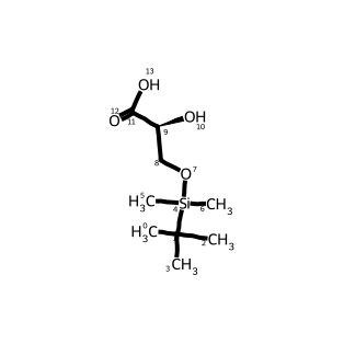 CC(C)(C)[Si](C)(C)OC[C@H](O)C(=O)O